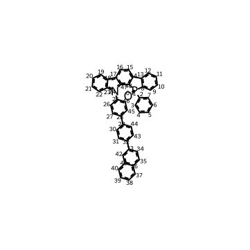 O=P1(c2ccccc2)c2ccccc2-c2ccc3c4ccccc4n(-c4ccc(-c5ccc(-c6ccc7ccccc7c6)cc5)cc4)c3c21